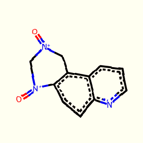 O=[N+]1Cc2c(ccc3ncccc23)[N+](=O)C1